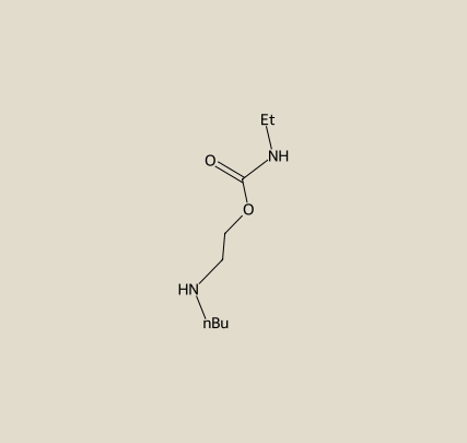 CCCCNCCOC(=O)NCC